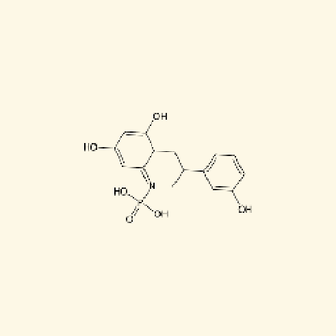 CC(CC1C(O)=CC(O)=CC1=NP(=O)(O)O)c1cccc(O)c1